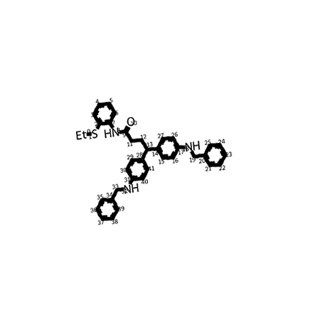 CCSc1ccccc1NC(=O)CCC(c1ccc(NCc2ccccc2)cc1)c1ccc(NCc2ccccc2)cc1